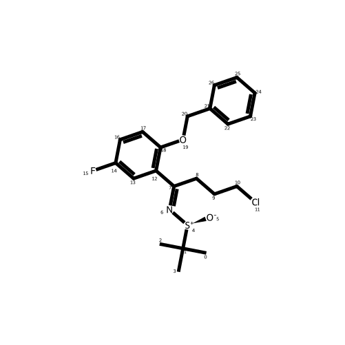 CC(C)(C)[S@+]([O-])/N=C(\CCCCl)c1cc(F)ccc1OCc1ccccc1